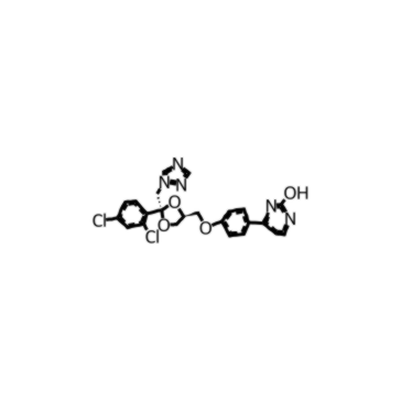 Oc1nccc(-c2ccc(OC[C@H]3CO[C@@](Cn4cncn4)(c4ccc(Cl)cc4Cl)O3)cc2)n1